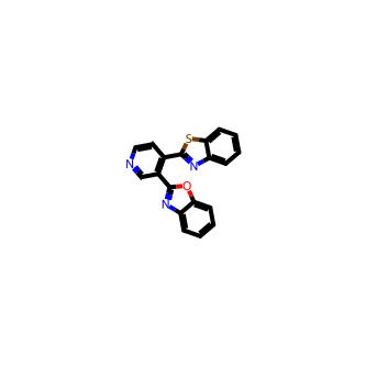 [c]1nc[c]c(-c2nc3ccccc3s2)c1-c1nc2ccccc2o1